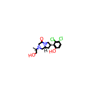 C[C@H](CO)N1CC(=O)N2C[C@@H](c3c(O)ccc(Cl)c3Cl)C[C@H]2C1